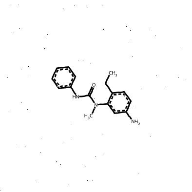 CCc1ccc(N)cc1N(C)C(=O)Nc1ccccc1